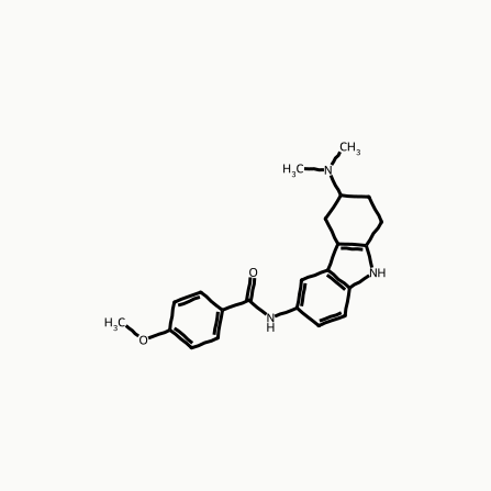 COc1ccc(C(=O)Nc2ccc3[nH]c4c(c3c2)CC(N(C)C)CC4)cc1